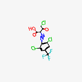 O=C(O)C(N=Nc1c(Cl)cc(C(F)(F)F)cc1Cl)C(=O)CCl